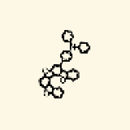 c1ccc(N(c2ccccc2)c2ccc(-c3cc4oc5ccc6oc7ccccc7c6c5c4c4oc5ccccc5c34)cc2)cc1